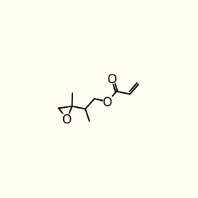 C=CC(=O)OCC(C)C1(C)CO1